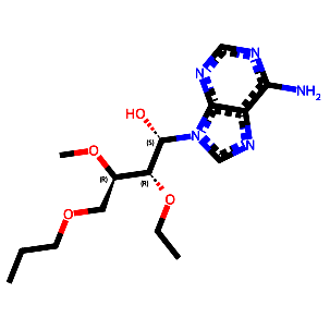 CCCOC[C@@H](OC)[C@@H](OCC)[C@H](O)n1cnc2c(N)ncnc21